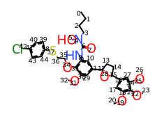 CCCCN(O)C(=O)Nc1cc(C2CCC(c3cc(OC)c(OC)c(OC)c3)O2)cc(OC)c1OCCSc1ccc(Cl)cc1